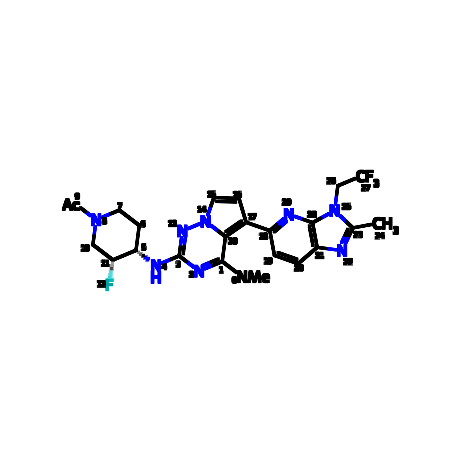 CNc1nc(N[C@H]2CCN(C(C)=O)C[C@H]2F)nn2ccc(-c3ccc4nc(C)n(CC(F)(F)F)c4n3)c12